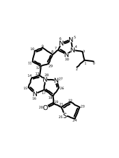 CC(C)Cn1nnc(-c2cccc(-c3ccnc4c(C(=O)c5cccs5)cnn34)c2)n1